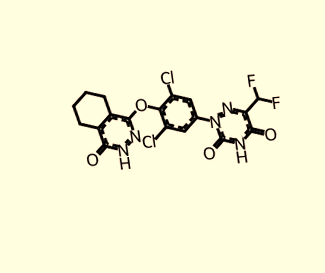 O=c1[nH]c(=O)n(-c2cc(Cl)c(Oc3n[nH]c(=O)c4c3CCCC4)c(Cl)c2)nc1C(F)F